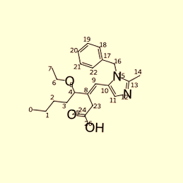 CCCCC(OCC)/C(=C/c1cnc(C)n1Cc1ccccc1)CC(=O)O